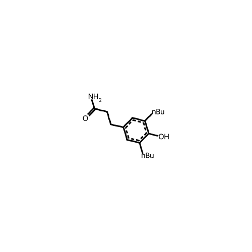 CCCCc1cc(CCC(N)=O)cc(CCCC)c1O